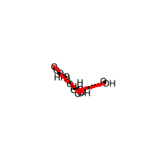 O=CCOCCOCCNC(=O)COCCOCCNC(=O)CC[C@H](NC(=O)CCCCCCCCCCCCCCC(=O)O)C(=O)O